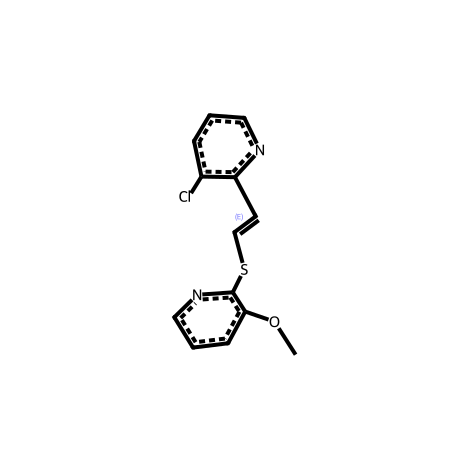 COc1cccnc1S/C=C/c1ncccc1Cl